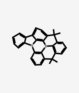 CC1(C)c2cccc3c2B2c4c1cccc4C(C)(C)c1ccc4c5ccccc5n-3c4c12